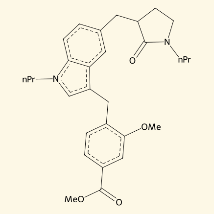 CCCN1CCC(Cc2ccc3c(c2)c(Cc2ccc(C(=O)OC)cc2OC)cn3CCC)C1=O